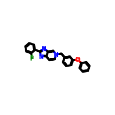 Fc1ccccc1-c1nc2ccn(Cc3cccc(Oc4ccccc4)c3)cc-2n1